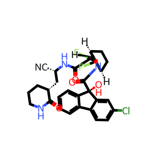 N#C[C@@H](C[C@H]1CCCNC1=O)NC(=O)[C@@H]1[C@H]2CC[C@H](CC2(F)F)N1C(=O)[C@@]1(O)c2ccccc2-c2ccc(Cl)cc21